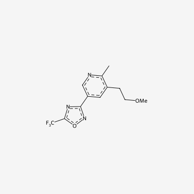 COCCc1cc(-c2noc(C(F)(F)F)n2)cnc1C